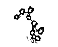 CC1(C)c2ccccc2-c2c1ccc1c3cc(-c4ccc5c(c4)c4ccccc4n5-c4cccc(-c5ccccc5)c4)ccc3n(-c3ccccc3)c21